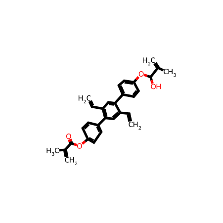 C=Cc1cc(-c2ccc(OC(O)C(=C)C)cc2)c(C=C)cc1-c1ccc(OC(=O)C(=C)C)cc1